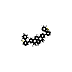 CC1(C)c2cc(-c3cccc4sc5ccccc5c34)ccc2-c2ccc3c4c(ccc1c24)C(C)(C)c1cc(-c2cccc4sc5ccccc5c24)ccc1-3